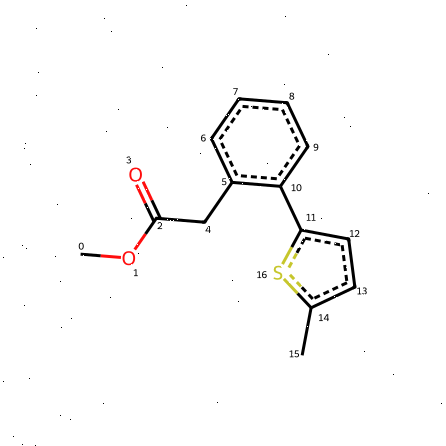 COC(=O)Cc1ccccc1-c1ccc(C)s1